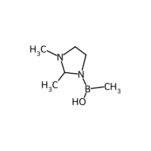 CB(O)N1CCN(C)C1C